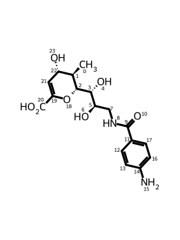 C[C@H]1[C@H]([C@H](O)[C@H](O)CNC(=O)c2ccc(N)cc2)OC(C(=O)O)=C[C@@H]1O